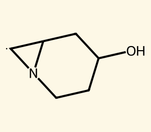 OC1CCN2[CH]C2C1